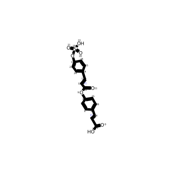 O=C(O)/C=C/c1ccc(OC(=O)/C=C/c2ccc(OS(=O)(=O)O)cc2)cc1